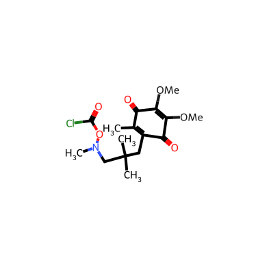 COC1=C(OC)C(=O)C(CC(C)(C)CN(C)OC(=O)Cl)=C(C)C1=O